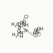 COC(=O)[C@H](CCN(CCCCc1ccc2c(n1)N(C(=O)O)CCC2)CCNC(C)=O)NC(=O)OCc1ccccc1